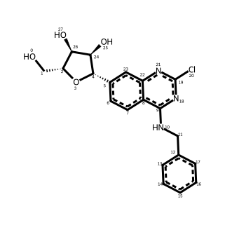 OC[C@H]1O[C@@H](c2ccc3c(NCc4ccccc4)nc(Cl)nc3c2)[C@H](O)[C@@H]1O